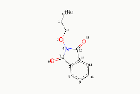 CC(C)(C)CCON1C(=O)c2ccccc2C1=O